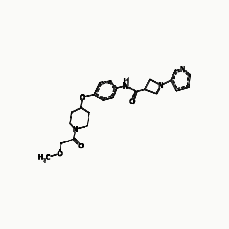 COCC(=O)N1CCC(Oc2ccc(NC(=O)C3CN(c4cccnc4)C3)cc2)CC1